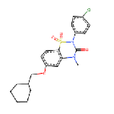 CN1C(=O)N(c2ccc(Cl)cc2)S(=O)(=O)c2ccc(OCC3CCCCC3)cc21